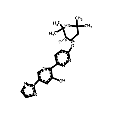 CC1(C)C[C@H](Oc2ccc(-c3ncc(-n4nccn4)cc3O)nn2)[C@H](F)C(C)(C)N1